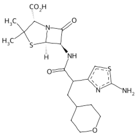 CC1(C)S[C@@H]2[C@H](NC(=O)C(CC3CCOCC3)c3csc(N)n3)C(=O)N2[C@H]1C(=O)O